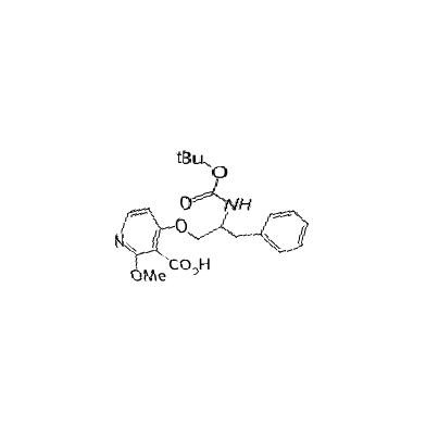 COc1nccc(OCC(Cc2ccccc2)NC(=O)OC(C)(C)C)c1C(=O)O